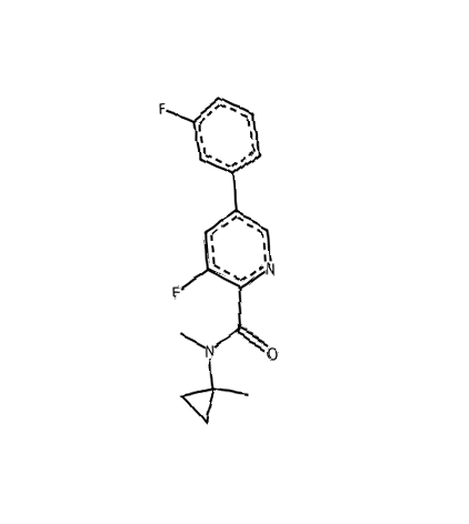 CN(C(=O)c1ncc(-c2cccc(F)c2)cc1F)C1(C)CC1